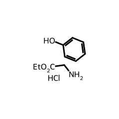 CCOC(=O)CN.Cl.Oc1ccccc1